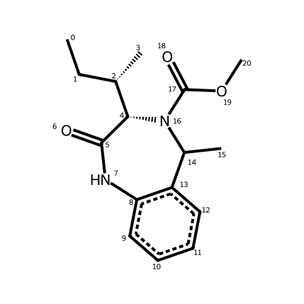 CC[C@H](C)[C@H]1C(=O)Nc2ccccc2C(C)N1C(=O)OC